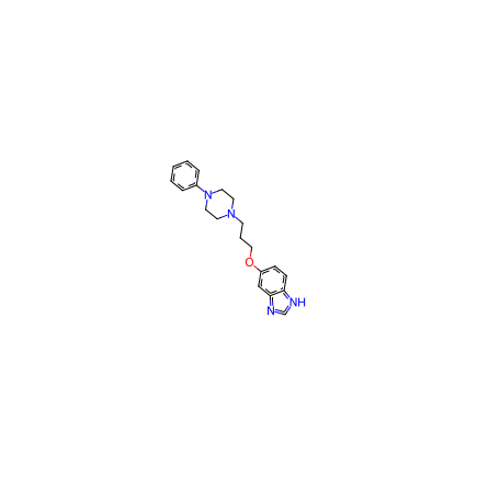 c1ccc(N2CCN(CCCOc3ccc4[nH]cnc4c3)CC2)cc1